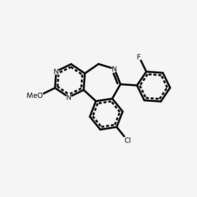 COc1ncc2c(n1)-c1ccc(Cl)cc1C(c1ccccc1F)=NC2